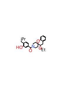 CCOC1Cc2ccccc2OC12CCN(C(=O)c1ccc(CC(C)C)c(O)c1)CC2